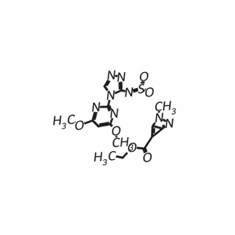 CCOC(=O)c1c2nn(C)c1-2.COc1cc(OC)nc(-n2cnnc2N=S(=O)=O)n1